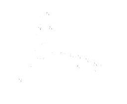 CC(C)(C#N)c1cc(Cn2cncn2)cc(C(C)(C)C#N)c1.c1c[nH]nn1